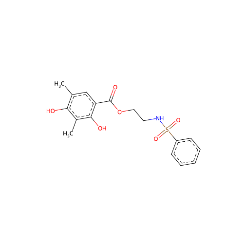 Cc1cc(C(=O)OCCNS(=O)(=O)c2ccccc2)c(O)c(C)c1O